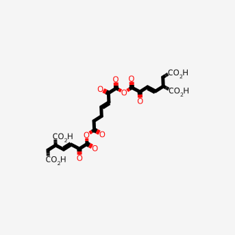 O=C(O)CC(C=CC(=O)C(=O)OC(=O)CCC=CC(=O)C(=O)OC(=O)C(=O)C=CC(CC(=O)O)C(=O)O)C(=O)O